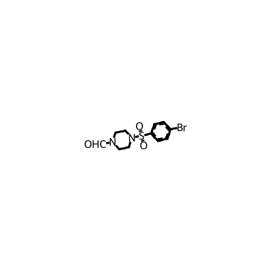 O=CN1CCN(S(=O)(=O)c2ccc(Br)cc2)CC1